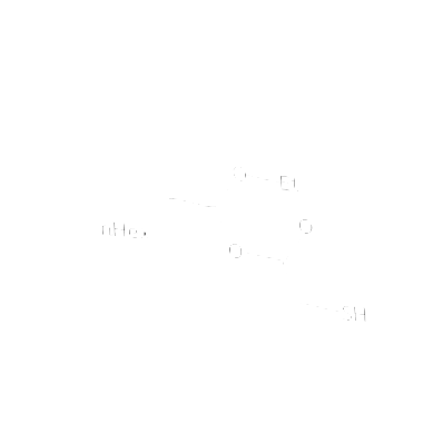 CCCCCCCC(OCC)OC(=O)CS